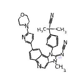 Cn1/c(=N/C#N)n(-c2ccc(C(C)(C)C#N)cc2)c2c3cc(-c4ccc(N5CCOCC5)nc4)ccc3ncc21